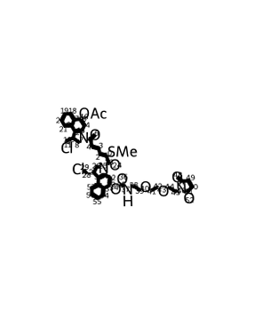 CS/C(=C\C=C\C(=O)N1CC(CCl)c2c1cc(OC(C)=O)c1ccccc21)C(=O)N1C[C@@H](CCl)c2c1cc(OC(=O)NCCOCCOCCN1C(=O)C=CC1=O)c1ccccc21